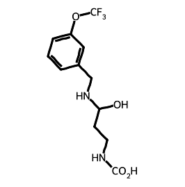 O=C(O)NCCC(O)NCc1cccc(OC(F)(F)F)c1